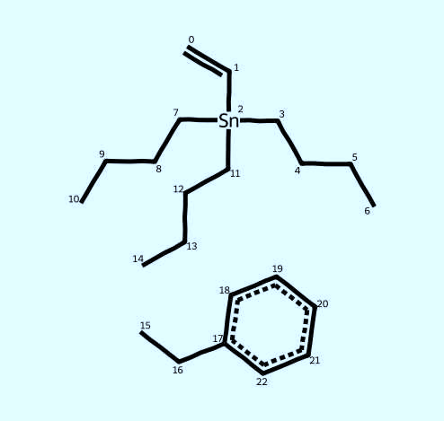 C=[CH][Sn]([CH2]CCC)([CH2]CCC)[CH2]CCC.CCc1ccccc1